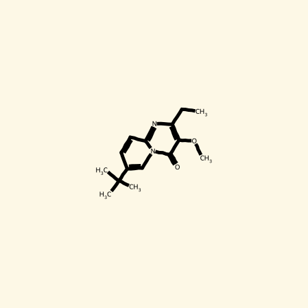 CCc1nc2ccc(C(C)(C)C)cn2c(=O)c1OC